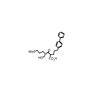 CSCCCN(CO)C(=O)C(CCCc1ccc(-c2ccccc2)cc1)C(=O)O